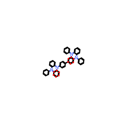 c1ccc(N(c2ccccc2)c2ccccc2N(c2ccccc2)c2ccc(-c3ccc(N(c4ccccc4)c4ccccc4N(c4ccccc4)c4ccccc4)cc3)cc2)cc1